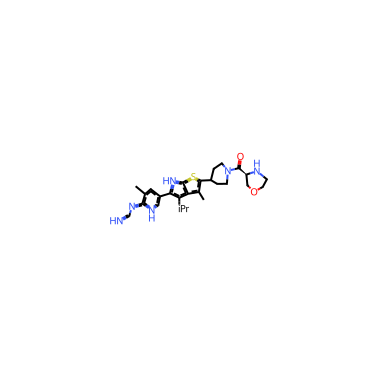 Cc1cc(-c2[nH]c3sc(C4CCN(C(=O)[C@@H]5COCCN5)CC4)c(C)c3c2C(C)C)c[nH]/c1=N\C=N